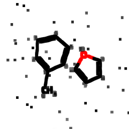 Cc1ccccc1.c1ccoc1